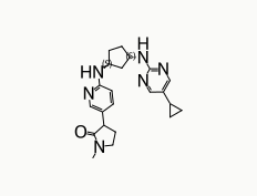 CN1CCC(c2ccc(N[C@H]3CC[C@H](Nc4ncc(C5CC5)cn4)C3)nc2)C1=O